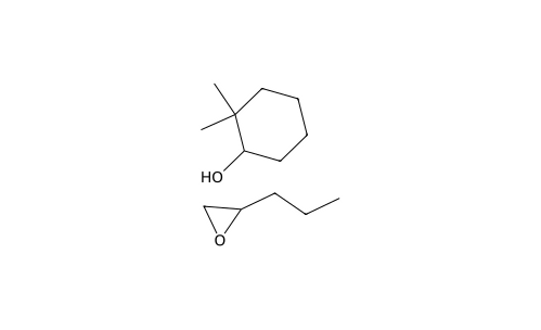 CC1(C)CCCCC1O.CCCC1CO1